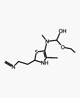 C=NCCC1NC(C)=C(N(C)C(O)OCC)S1